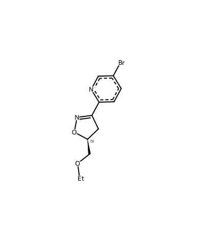 CCOC[C@@H]1CC(c2ccc(Br)cn2)=NO1